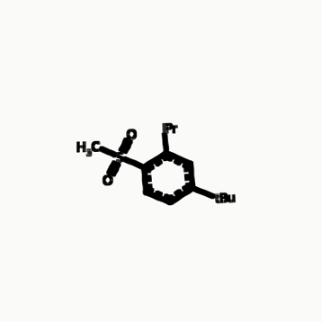 CC(C)c1cc(C(C)(C)C)ccc1S(C)(=O)=O